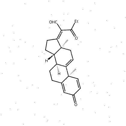 CCC(=O)/C(C=O)=C1/CC[C@H]2[C@@H]3CCC4=CC(=O)C=C[C@]4(C)C3=CC[C@]12C